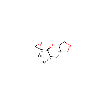 C[C@@H](C[C@@H]1CCOC1)C(=O)[C@@]1(C)CO1